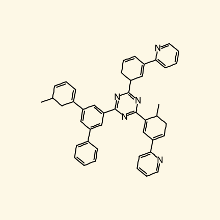 CC1C=CC=C(c2cc(-c3ccccc3)cc(-c3nc(C4=CC(c5ccccn5)=CCC4C)nc(C4C=C(c5ccccn5)C=CC4)n3)c2)C1